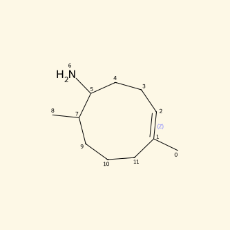 C/C1=C/CCC(N)C(C)CCC1